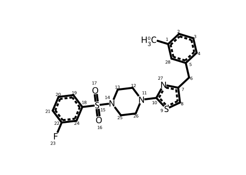 Cc1cccc(Cc2csc(N3CCN(S(=O)(=O)c4cccc(F)c4)CC3)n2)c1